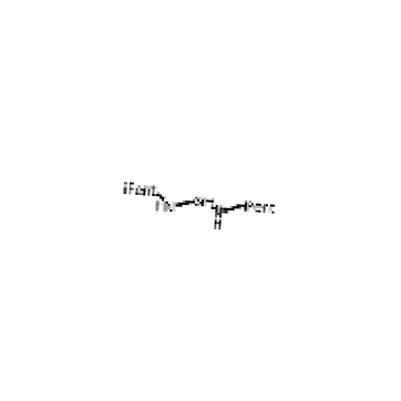 CCCC(C)N[SiH2]NC(C)CCC